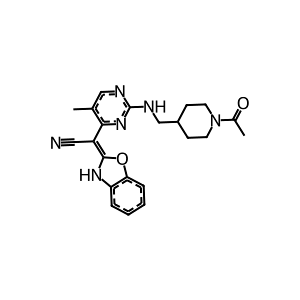 CC(=O)N1CCC(CNc2ncc(C)c(C(C#N)=C3Nc4ccccc4O3)n2)CC1